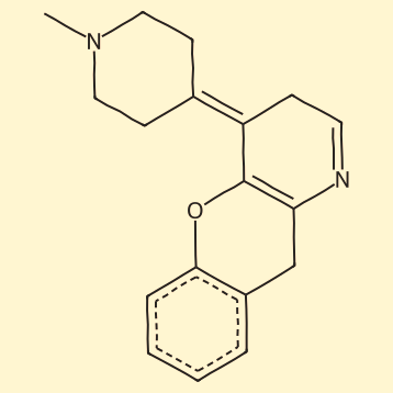 CN1CCC(=C2CC=NC3=C2Oc2ccccc2C3)CC1